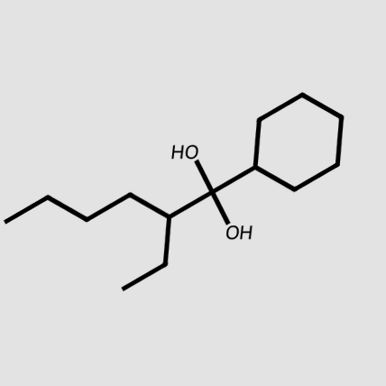 CCCCC(CC)C(O)(O)C1CCCCC1